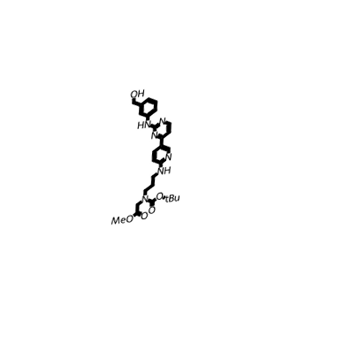 COC(=O)CN(CCCNc1ccc(-c2ccnc(Nc3cccc(CO)c3)n2)cn1)C(=O)OC(C)(C)C